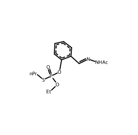 CCCSP(=O)(OCC)Oc1ccccc1C=NNC(C)=O